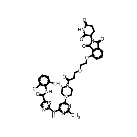 Cc1nc(Nc2ncc(C(=O)Nc3c(C)cccc3Cl)s2)cc(N2CCN(C(=O)CCOCCOc3cccc4c3C(=O)N(C3CCC(=O)NC3=O)C4=O)CC2)n1